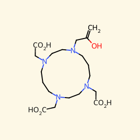 C=C(O)CN1CCCN(CC(=O)O)CCN(CC(=O)O)CCCN(CC(=O)O)CC1